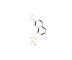 O=[N+]([O-])c1ccc2cccc(OS(=O)(=O)[N+](=O)[O-])c2c1